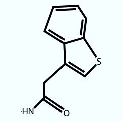 [NH]C(=O)Cc1csc2ccccc12